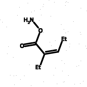 CCC=C(CC)C(=O)ON